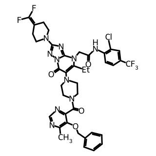 CCc1c(N2CCN(C(=O)c3ncnc(C)c3OCc3ccccc3)CC2)c(=O)n2nc(N3CCC(=C(F)F)CC3)nc2n1CC(=O)Nc1ccc(C(F)(F)F)cc1Cl